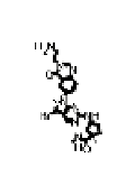 CNC(=O)[C@]1(C)CC[C@@H](Nc2ncc3c(Br)nn(-c4ccc5ncn(CCN)c(=O)c5c4)c3n2)C1